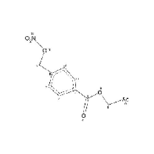 [CH2]C(=O)COC(=O)c1ccc(CO[N+](=O)[O-])cc1